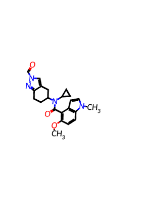 COc1ccc2c(ccn2C)c1C(=O)N(C1CC1)C1CCc2nn(C=O)cc2C1